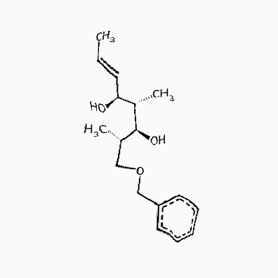 C/C=C/[C@H](O)[C@H](C)[C@@H](O)[C@@H](C)COCc1ccccc1